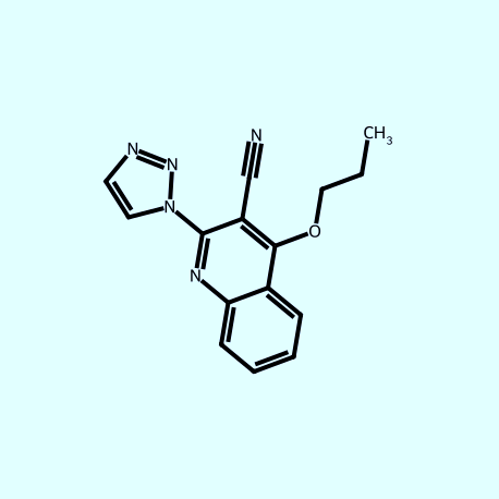 CCCOc1c(C#N)c(-n2ccnn2)nc2ccccc12